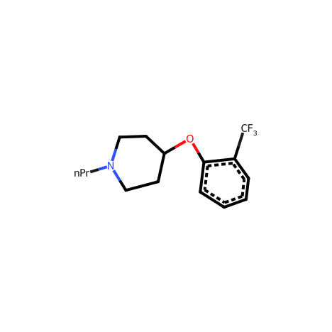 [CH2]CCN1CCC(Oc2ccccc2C(F)(F)F)CC1